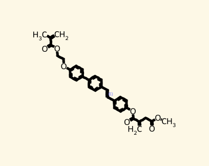 C=C(C)C(=O)OCCOc1ccc(-c2ccc(/C=C/c3ccc(OC(=O)C(=C)CC(=O)OC)cc3)cc2)cc1